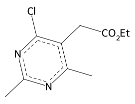 CCOC(=O)Cc1c(C)nc(C)nc1Cl